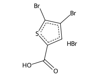 Br.O=C(O)c1cc(Br)c(Br)s1